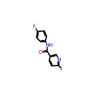 O=C(Nc1ccc(F)cc1)c1ccc(I)nc1